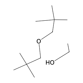 CC(C)(C)COCC(C)(C)C.CCO